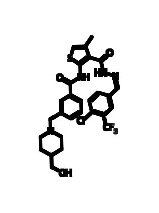 Cc1csc(NC(=O)c2cccc(CN3CCC(CO)CC3)c2)c1C(=O)N/N=C\c1ccc(Cl)c(C(F)(F)F)c1